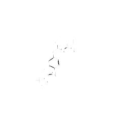 CC(Cc1ccc2nc(N)sc2c1)N=C(N)S